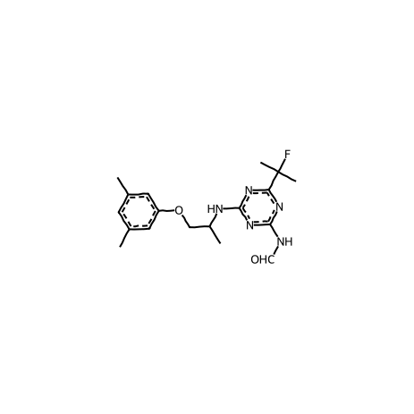 Cc1cc(C)cc(OCC(C)Nc2nc(NC=O)nc(C(C)(C)F)n2)c1